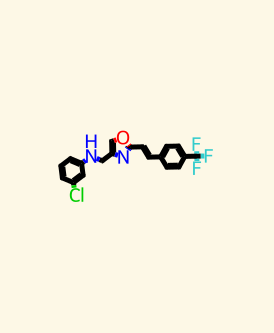 FC(F)(F)c1ccc(/C=C/c2nc(CNc3cccc(Cl)c3)co2)cc1